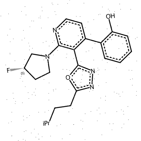 CC(C)CCc1nnc(-c2c(-c3ccccc3O)ccnc2N2CC[C@H](F)C2)o1